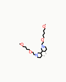 COCCCCCOCCN1CC[C@H](C)C(C2CN(CCOCCCCOC)CC[C@H]2C)C1